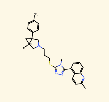 Cc1ccc2c(-c3nnc(SCCCN4C[C@@H]5C[C@]5(c5ccc(C(F)(F)F)cc5)C4)n3C)cccc2n1